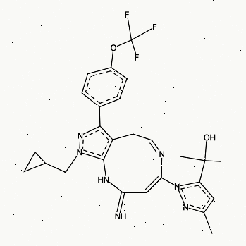 Cc1cc(C(C)(C)O)n(C2=C/C(=N)Nc3c(c(-c4ccc(OC(F)(F)F)cc4)nn3CC3CC3)C/C=N\2)n1